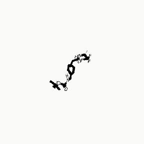 C[C@@H](NC(=O)Cc1ccc(CNC(=O)OC(C)(C)C)cc1)C(F)(F)F